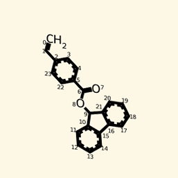 C=Cc1ccc(C(=O)OC2c3ccccc3-c3ccccc32)cc1